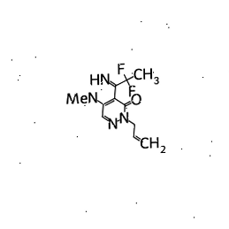 C=CCn1ncc(NC)c(C(=N)C(C)(F)F)c1=O